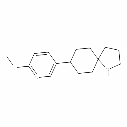 COc1ccc(C2CCC3(CCCN3)CC2)cn1